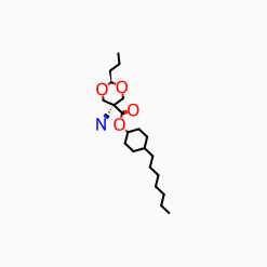 CCCCCCCC1CCC(OC(=O)[C@]2(C#N)CO[C@H](CCC)OC2)CC1